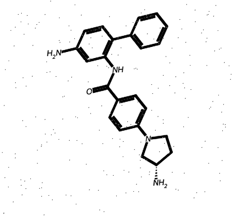 Nc1ccc(-c2ccccc2)c(NC(=O)c2ccc(N3CC[C@H](N)C3)cc2)c1